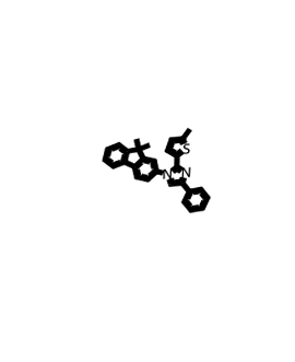 Cc1ccc(-c2nc(-c3ccccc3)cn2-c2ccc3c(c2)C(C)(C)c2ccccc2-3)s1